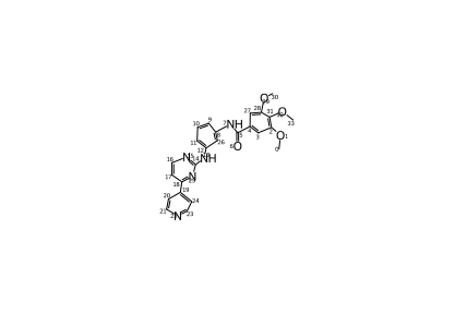 COc1cc(C(=O)Nc2cccc(Nc3nccc(-c4ccncc4)n3)c2)cc(OC)c1OC